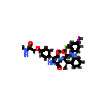 CNC(=O)COc1ccc([C@H]2NC(=O)N([C@@H](C(=O)Nc3ccc(I)cc3F)[C@@H](C)c3ccccc3)C2=O)cc1